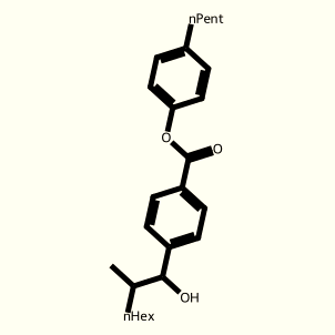 CCCCCCC(C)C(O)c1ccc(C(=O)Oc2ccc(CCCCC)cc2)cc1